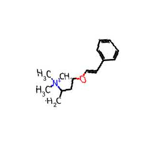 [CH2]C(CCOC=Cc1ccccc1)[N+](C)(C)C